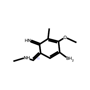 BC1=C/C(=C/NC)C(=N)C(C)=C1OC